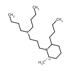 CCCCC1CCC[C@H](C)B1CCCP(CCCC)CCCC